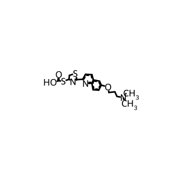 CN(C)CCCOc1ccc2nc(C3=NC(SC(=O)O)CS3)ccc2c1